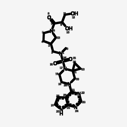 CN(CC1CCN(C(=O)C(O)CO)C1)S(=O)(=O)N1CCN(c2ncnc3[nH]ccc23)CC12CC2